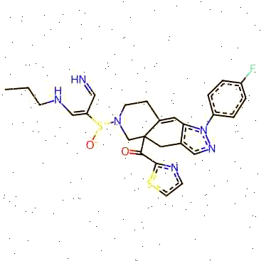 CCCN/C=C(\C=N)[S+]([O-])N1CCC2=Cc3c(cnn3-c3ccc(F)cc3)CC2(C(=O)c2nccs2)C1